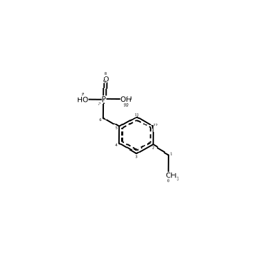 CCc1ccc(CP(=O)(O)O)cc1